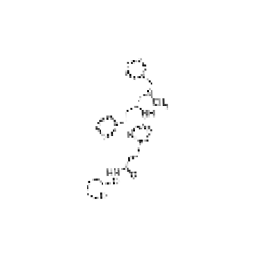 CN(Cc1ccccc1)C[C@@H](CCc1ccccc1)Nc1cnc(C=CC(=O)NOC2CCCCO2)cn1